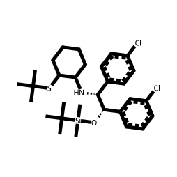 CC(C)(C)SC1CCCCC1N[C@H](c1ccc(Cl)cc1)[C@@H](O[Si](C)(C)C(C)(C)C)c1cccc(Cl)c1